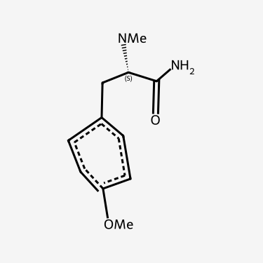 CN[C@@H](Cc1ccc(OC)cc1)C(N)=O